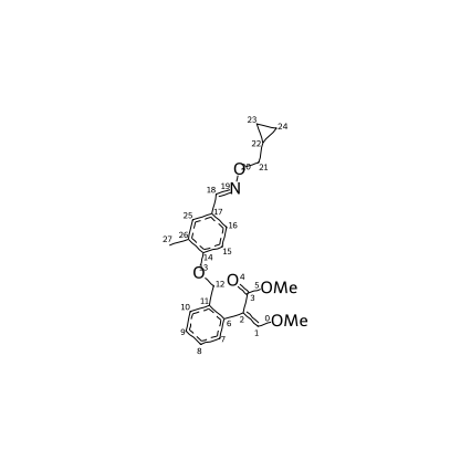 COC=C(C(=O)OC)c1ccccc1COc1ccc(C=NOCC2CC2)cc1C